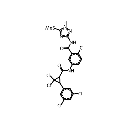 CSc1nc(NC(=O)c2cc(NC(=O)C3C(c4cc(Cl)cc(Cl)c4)C3(Cl)Cl)ccc2Cl)n[nH]1